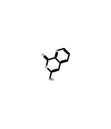 CCCCc1cc2cccnc2c(=O)o1